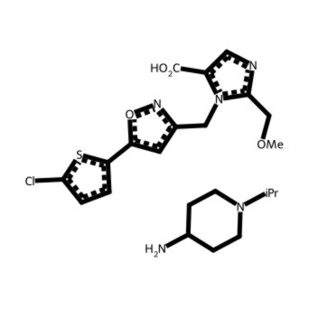 CC(C)N1CCC(N)CC1.COCc1ncc(C(=O)O)n1Cc1cc(-c2ccc(Cl)s2)on1